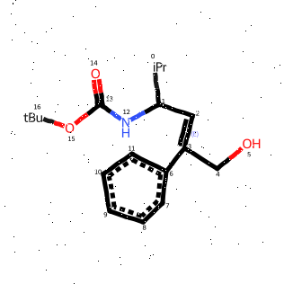 CC(C)C(/C=C(/CO)c1ccccc1)NC(=O)OC(C)(C)C